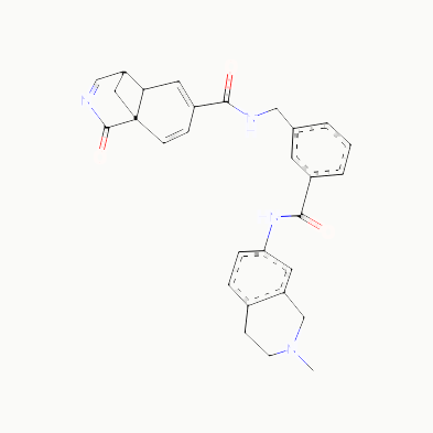 CN1CCc2ccc(NC(=O)c3cccc(CNC(=O)C4=CC5C6C=NC(=O)C5(C=C4)C6)c3)cc2C1